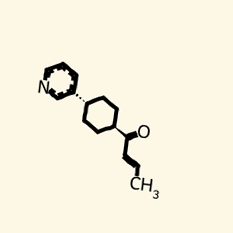 C/C=C/C(=O)[C@H]1CC[C@H](c2cccnc2)CC1